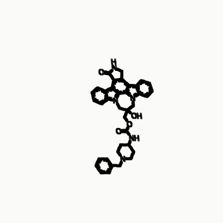 O=C(NC1CCN(Cc2ccccc2)CC1)OCC1(O)Cn2c3ccccc3c3c4c(c5c6ccccc6n(c5c32)C1)C(=O)NC4